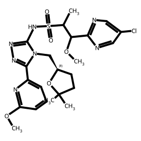 COc1cccc(-c2nnc(NS(=O)(=O)C(C)C(OC)c3ncc(Cl)cn3)n2C[C@H]2CCC(C)(C)O2)n1